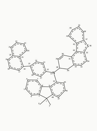 CC1(C)c2ccccc2-c2c(N(c3ccc(-c4cccc5ccccc45)cc3)C3C=Cc4c(ccc5sc6ccccc6c45)C3)cccc21